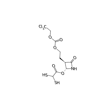 O=C(OCC[C@H]1C(=O)N[C@@H]1OC(=O)C(S)S)OCC(Cl)(Cl)Cl